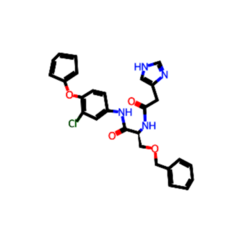 O=C(Cc1c[nH]cn1)N[C@@H](COCc1ccccc1)C(=O)Nc1ccc(Oc2ccccc2)c(Cl)c1